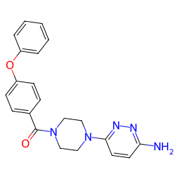 Nc1ccc(N2CCN(C(=O)c3ccc(Oc4ccccc4)cc3)CC2)nn1